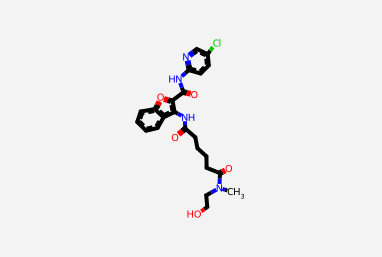 CN(CCO)C(=O)CCCCC(=O)Nc1c(C(=O)Nc2ccc(Cl)cn2)oc2ccccc12